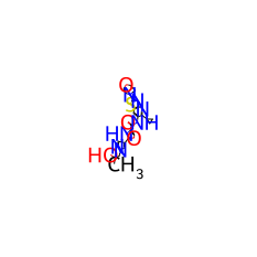 CC(O)Cn1cc(C2NC(C(=O)Nc3cc4sc(N5CCOCC5)nc4nc3C3CC3)=CO2)cn1